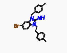 Cc1ccc(CCn2c(=N)n(Cc3ccc(C)cc3)c3cc(Br)ccc32)cc1